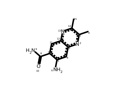 Cc1nc2cc(N)c(C(N)=O)cc2nc1C